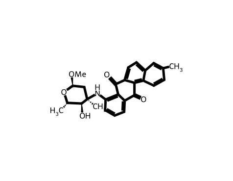 CO[C@H]1C[C@@](C)(Nc2cccc3c2C(=O)c2ccc4cc(C)ccc4c2C3=O)[C@@H](O)[C@H](C)O1